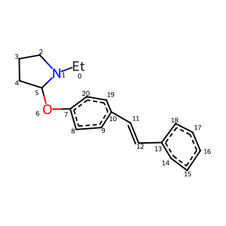 CCN1CCCC1Oc1ccc(C=Cc2ccccc2)cc1